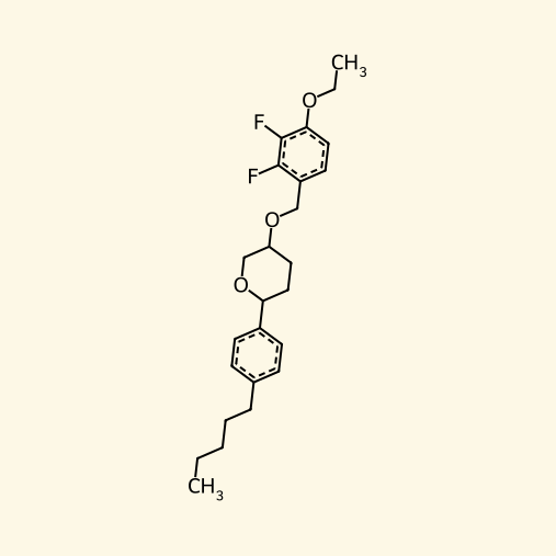 CCCCCc1ccc(C2CCC(OCc3ccc(OCC)c(F)c3F)CO2)cc1